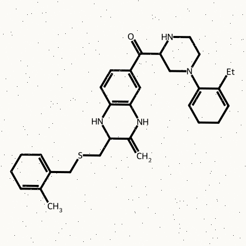 C=C1Nc2cc(C(=O)C3CN(C4=CCCC=C4CC)CCN3)ccc2NC1CSCC1=CCCC=C1C